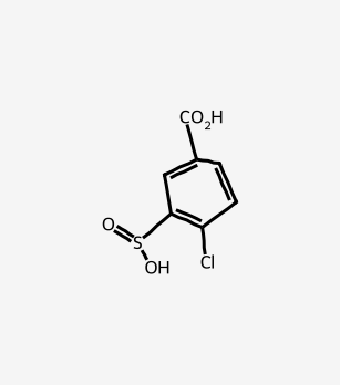 O=C(O)c1ccc(Cl)c(S(=O)O)c1